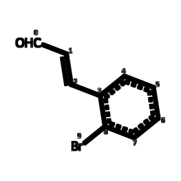 O=C/C=C/c1ccccc1Br